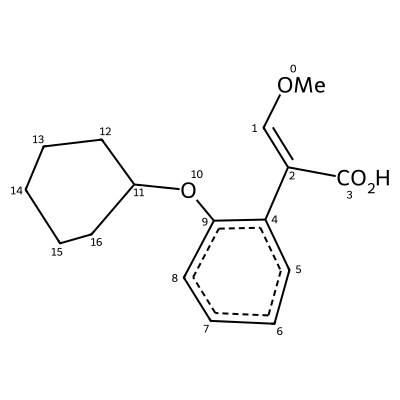 COC=C(C(=O)O)c1ccccc1OC1CCCCC1